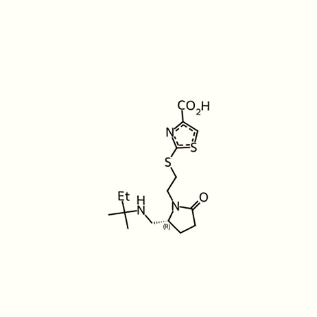 CCC(C)(C)NC[C@H]1CCC(=O)N1CCSc1nc(C(=O)O)cs1